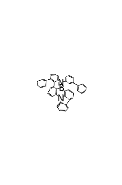 c1ccc(-c2cccc(N3B4c5c(cccc5-n5c6ccccc6c6cccc4c65)-c4c(-c5ccccc5)cccc43)c2)cc1